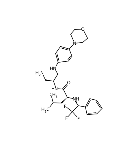 CC(C)C[C@H](N[C@@H](c1ccccc1)C(F)(F)F)C(=O)N[C@@H](CN)CNc1ccc(N2CCOCC2)cc1